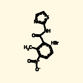 Br.Cc1c(C(=O)Nc2nccs2)cccc1[N+](=O)[O-]